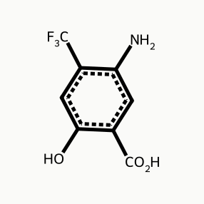 Nc1cc(C(=O)O)c(O)cc1C(F)(F)F